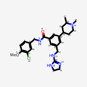 COc1ccc(CNC(=O)c2cc(CNC3=NCCN3)cc(C3CCN(C)C(C)C3)c2)cc1Cl